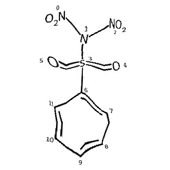 O=[N+]([O-])N([N+](=O)[O-])S(=O)(=O)c1ccccc1